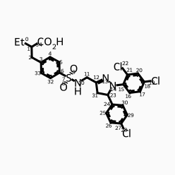 CCC(Cc1ccc(S(=O)(=O)NCC2=NN(c3ccc(Cl)cc3Cl)C(c3ccc(Cl)cc3)C2)cc1)C(=O)O